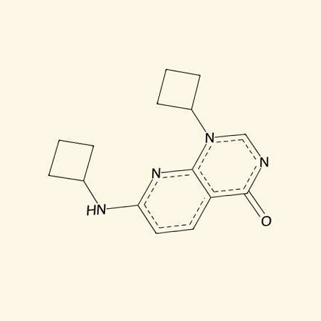 O=c1ncn(C2CCC2)c2nc(NC3CCC3)ccc12